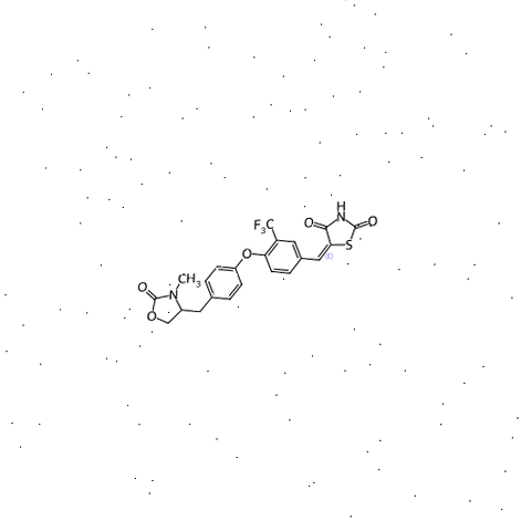 CN1C(=O)OCC1Cc1ccc(Oc2ccc(/C=C3/SC(=O)NC3=O)cc2C(F)(F)F)cc1